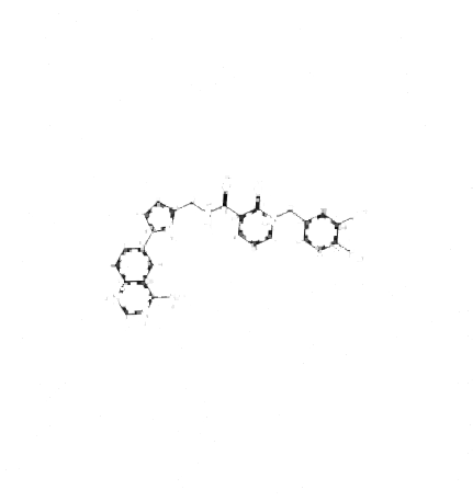 Nc1ncnc2ccc(-c3ccc(CNC(=O)c4cccn(Cc5ccc(F)c(F)c5)c4=O)s3)cc12